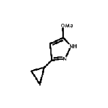 COc1cc(C2CC2)n[nH]1